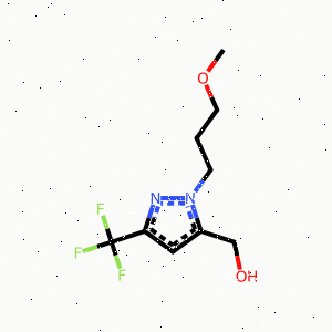 COCCCn1nc(C(F)(F)F)cc1CO